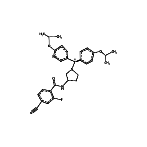 CC(C)Oc1ccc([C@H](c2ccc(OC(C)C)nc2)N2CCC(NC(=O)c3ccc(C#N)cc3F)C2)cc1